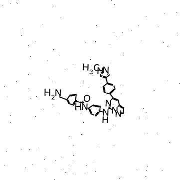 Cn1cc(-c2ccc(-c3cc4ccnn4c(Nc4ccc(NC(=O)c5ccc(CN)cc5)cc4)n3)cc2)cn1